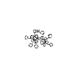 CO[C@H]1O[C@H](CO[C@H]2O[C@@H](CCO)[C@@H](OCc3ccccc3)[C@@H](OCc3ccccc3)[C@H]2OCc2ccccc2)[C@@H](OCc2ccccc2)[C@H](OCc2ccccc2)[C@H]1OCc1ccccc1